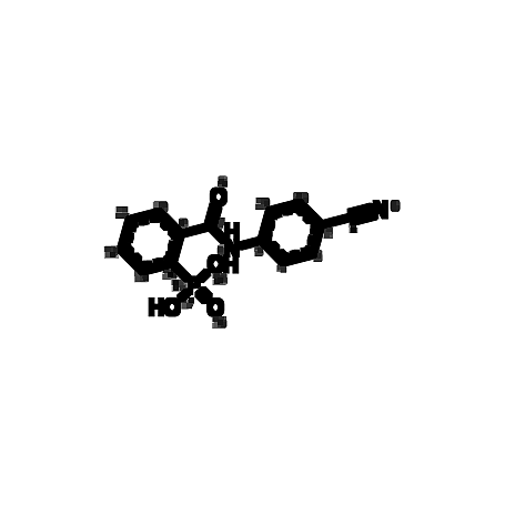 N#Cc1ccc(NC(=O)c2ccccc2P(=O)(O)O)cc1